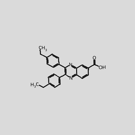 CCc1ccc(-c2nc3ccc(C(=O)O)cc3nc2-c2ccc(CC)cc2)cc1